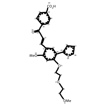 COCCOCCOc1cc(OC)c(C=CC(=O)c2ccc(C(=O)O)cc2)cc1-c1cccs1